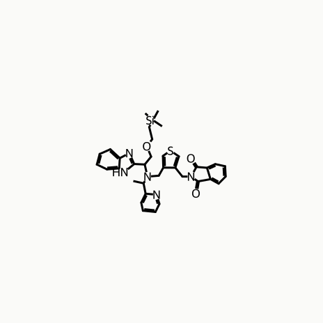 CC(c1ccccn1)N(Cc1cscc1CN1C(=O)c2ccccc2C1=O)C(COCC[Si](C)(C)C)c1nc2ccccc2[nH]1